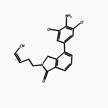 N#C/C=C\CCN1Cc2c(cccc2-c2cc(Cl)c(N)c(Cl)c2)C1=O